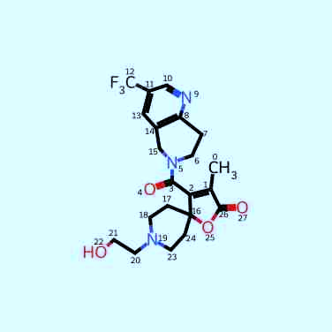 CC1=C(C(=O)N2CCc3ncc(C(F)(F)F)cc3C2)C2(CCN(CCO)CC2)OC1=O